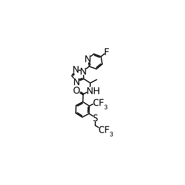 CC(NC(=O)c1cccc(SCC(F)(F)F)c1C(F)(F)F)c1ncnn1-c1ccc(F)cn1